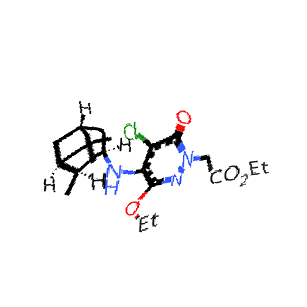 CCOC(=O)Cn1nc(OCC)c(N[C@@H]2C[C@H]3C[C@H]([C@@H]2C)C3(C)C)c(Cl)c1=O